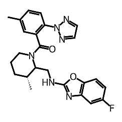 Cc1ccc(-n2nccn2)c(C(=O)N2CCC[C@@H](C)C2CNc2nc3cc(F)ccc3o2)c1